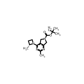 Cc1nc2c(c(N3CC[C@H]3C)n1)CN(C(=O)OC(C)(C)C)C2